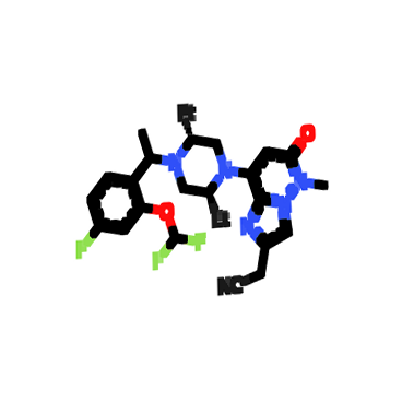 CC[C@H]1CN(C(C)c2ccc(F)cc2OC(F)F)[C@H](CC)CN1c1cc(=O)n(C)n2cc(CC#N)nc12